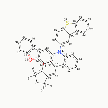 CC1(C)CC(C)(C)C2CC=C(c3ccccc3N(C3=CC4c5ccccc5SC4C=C3)c3ccc4oc5ccccc5c4c3)C=C21